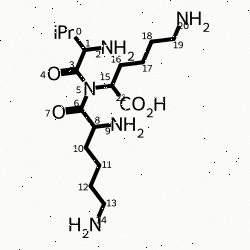 CC(C)C(N)C(=O)N(C(=O)C(N)CCCCN)C(CCCCN)C(=O)O